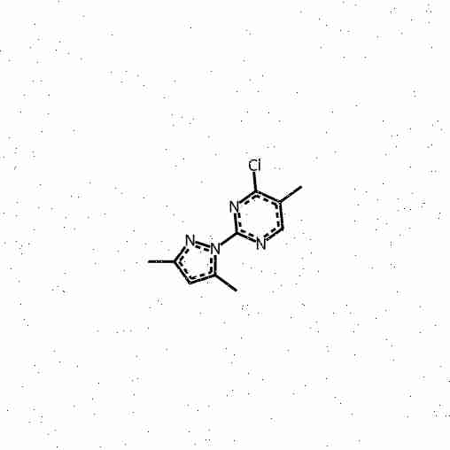 Cc1cc(C)n(-c2ncc(C)c(Cl)n2)n1